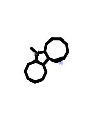 CN1C2CCCCC/C=C\C2C2CCCCCCC21